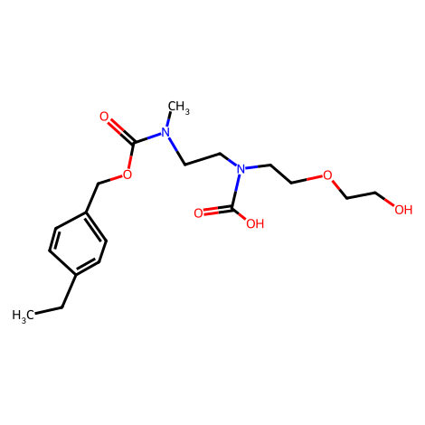 CCc1ccc(COC(=O)N(C)CCN(CCOCCO)C(=O)O)cc1